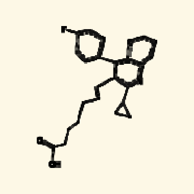 O=C(O)CCCC/C=C/c1c(C2CC2)nc2ccccc2c1-c1ccc(F)cc1